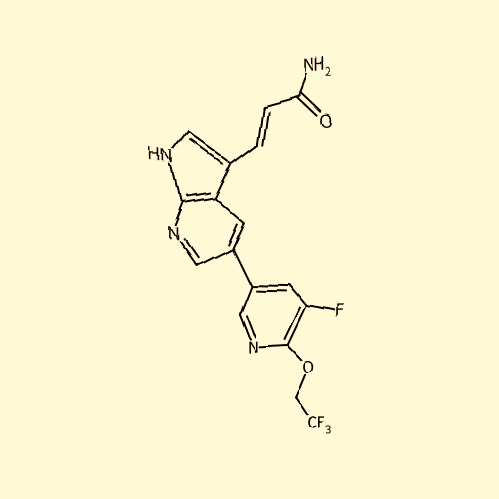 NC(=O)C=Cc1c[nH]c2ncc(-c3cnc(OCC(F)(F)F)c(F)c3)cc12